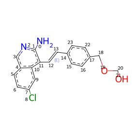 Nc1ncc2ccc(Cl)cc2c1/C=C/c1ccc(COCO)cc1